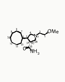 COCCN1CC(C2CCCCCCC2)[C@@H](C(N)=O)C1